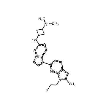 Cc1nc2ccc(-c3ccn4nc(NC5CC(N(C)C)C5)ncc34)nc2n1CCF